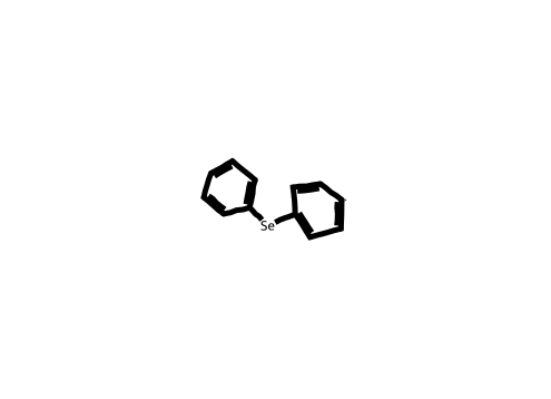 [c]1ccc([Se]c2ccccc2)cc1